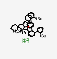 CC1(CC2=Cc3c(-c4ccccc4C(C)(C)C)cccc3[CH]2[Zr]([CH3])([CH3])(=[SiH2])[CH]2C(CC3(C)CCCCC3)=Cc3c(-c4ccccc4C(C)(C)C)cccc32)CCCCC1.Cl.Cl